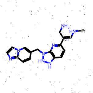 CC(C)N/C=C(\CN)c1ccc2c(n1)N(Cc1ccc3nccn3c1)NN2